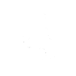 CC(C)n1c(=O)c(OC(=O)N[C@@H]2C[C@H]3CC[C@@H](C2)N3CCCS(=O)(=O)N(C)C2CCN(CCC#N)CC2)cc2ccccc21